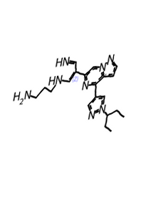 CCC(CC)n1cc(-c2nc(/C(C=N)=C/NCCCN)cn3nccc23)cn1